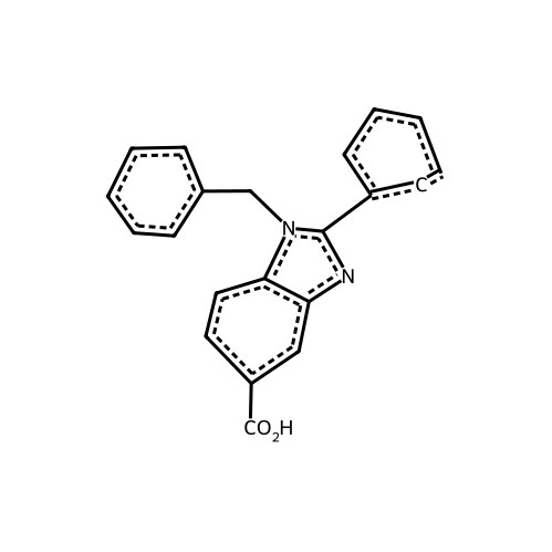 O=C(O)c1ccc2c(c1)nc(-c1ccccc1)n2Cc1ccccc1